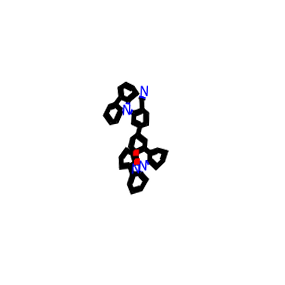 N#Cc1ccc(-c2ccc(C#N)c(-n3c4ccccc4c4ccccc43)c2)cc1-c1ccccc1-n1c2ccccc2c2ccccc21